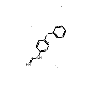 N=NNc1ccc(Oc2ccccc2)cc1